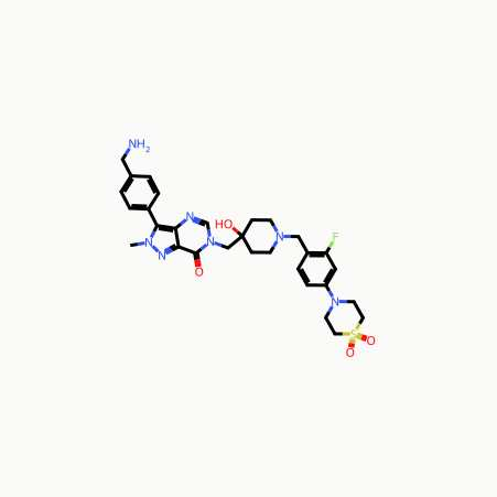 Cn1nc2c(=O)n(CC3(O)CCN(Cc4ccc(N5CCS(=O)(=O)CC5)cc4F)CC3)cnc2c1-c1ccc(CN)cc1